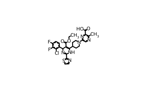 CCOC(=O)C1=C(C2CCN(c3cnc(C)c(C(=O)O)n3)CC2)NC(c2nccs2)=NC1c1ccc(F)c(F)c1Cl